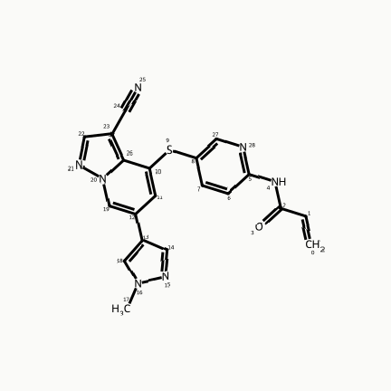 C=CC(=O)Nc1ccc(Sc2cc(-c3cnn(C)c3)cn3ncc(C#N)c23)cn1